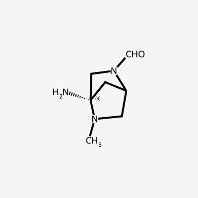 CN1CC2C[C@]1(N)CN2C=O